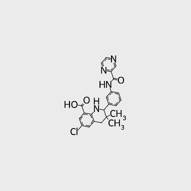 CC1(C)Cc2cc(Cl)cc(C(=O)O)c2NC1c1cccc(NC(=O)c2cnccn2)c1